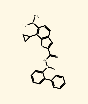 CN(C)c1ccc2cc(C(=O)N[S+]([O-])c3ccccc3-c3ccccc3)oc2c1C1CC1